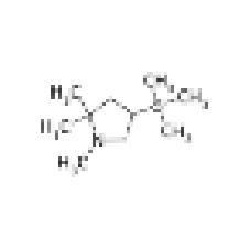 CN1CC(S(C)(C)C)CC1(C)C